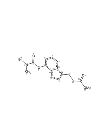 CCN(C)C(=O)Oc1cccc2c1ccn2CCC(=O)OC